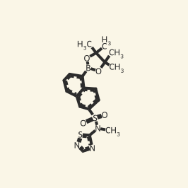 CN(c1ncns1)S(=O)(=O)c1ccc2c(B3OC(C)(C)C(C)(C)O3)cccc2c1